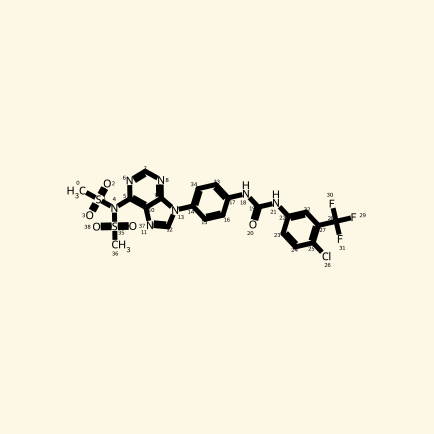 CS(=O)(=O)N(c1ncnc2c1ncn2-c1ccc(NC(=O)Nc2ccc(Cl)c(C(F)(F)F)c2)cc1)S(C)(=O)=O